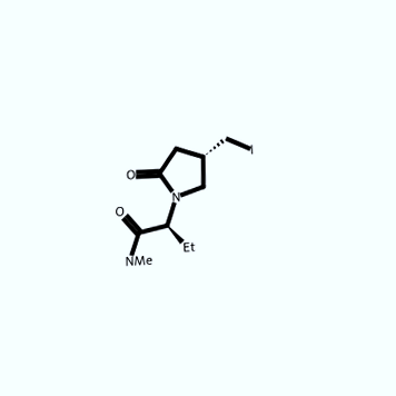 CC[C@@H](C(=O)NC)N1C[C@@H](CI)CC1=O